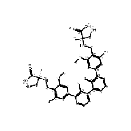 COc1cc(-c2cccc(-c3cccc(-c4cc(F)c(CN[C@@](C)(CO)C(=O)O)c(OC)c4)c3C)c2C)cc(F)c1CN[C@@](C)(CO)C(=O)O